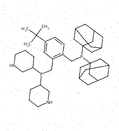 CC(C)(C)c1ccc(CP(C23CC4CC(CC(C4)C2)C3)C23CC4CC(CC(C4)C2)C3)c(CP(C2CCCNC2)C2CCCNC2)c1